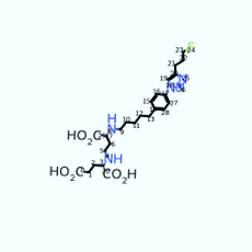 O=C(O)CC[C@H](NCC[C@H](NCCCCCc1ccc(-n2cc(CCCF)nn2)cc1)C(=O)O)C(=O)O